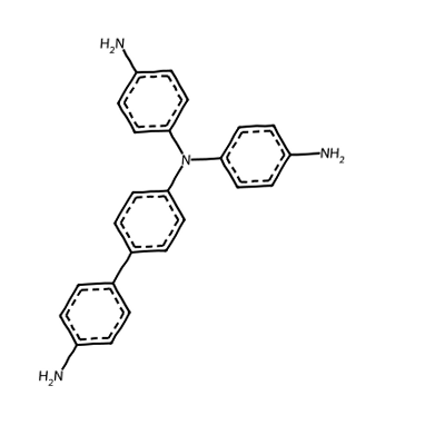 Nc1ccc(-c2ccc(N(c3ccc(N)cc3)c3ccc(N)cc3)cc2)cc1